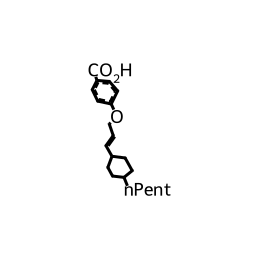 CCCCCC1CCC(/C=C/COc2ccc(C(=O)O)cc2)CC1